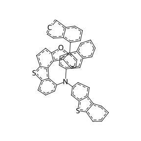 c1ccc2c(-c3ccc(N(c4ccc5c(c4)sc4ccccc45)c4cccc5sc6ccc7oc8c9ccccc9ccc8c7c6c45)cc3)cccc2c1